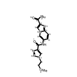 COCCn1cc(C(=O)Nc2ccc3nc(C(=O)C(C)(C)C)cn3c2)nn1